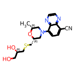 C[C@@H]1CN(c2ccc(C#N)c3nccnc23)C[C@H](CSC[C@H](O)CO)O1